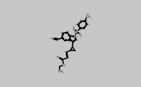 CCOC(=O)/C=C/C1CC1c1cn(S(=O)(=O)c2ccc(C)cc2)c2ccc(C#N)cc12